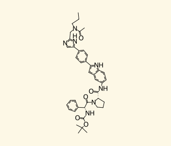 CCCN(Cc1ncc(-c2ccc(-c3cc4cc(NC(=O)[C@@H]5CCCN5C(=O)[C@H](NC(=O)OC(C)(C)C)c5ccccc5)ccc4[nH]3)cc2)[nH]1)C(C)=O